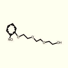 O=Nc1ccccc1OCCOCCOCCO